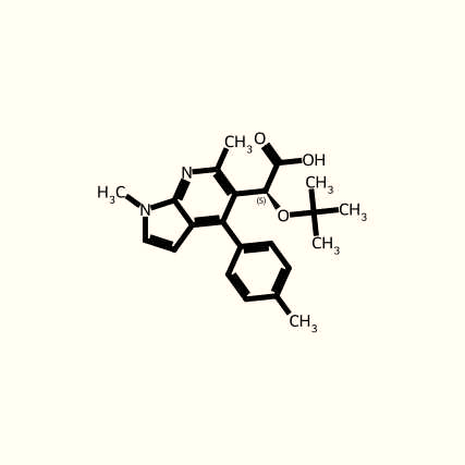 Cc1ccc(-c2c([C@H](OC(C)(C)C)C(=O)O)c(C)nc3c2ccn3C)cc1